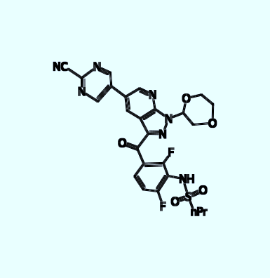 CCCS(=O)(=O)Nc1c(F)ccc(C(=O)c2nn(C3COCCO3)c3ncc(-c4cnc(C#N)nc4)cc23)c1F